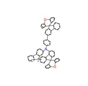 CC1(C)c2ccccc2-c2ccc(N(c3ccc(-c4ccc5c(c4)-c4ccccc4C54c5ccccc5Oc5ccccc54)cc3)c3cccc4c3-c3ccccc3C43c4ccccc4Oc4ccccc43)cc21